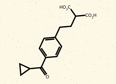 O=C(c1ccc(CCC(C(=O)O)C(=O)O)cc1)C1CC1